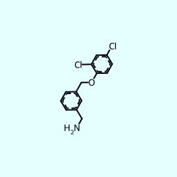 NCc1cccc(COc2ccc(Cl)cc2Cl)c1